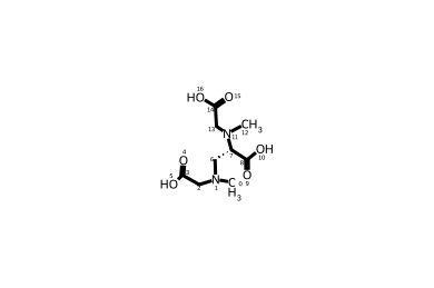 CN(CC(=O)O)C[C@@H](C(=O)O)N(C)CC(=O)O